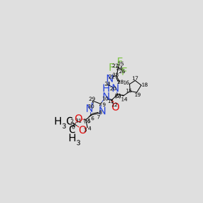 CC1(C)OC[C@H](c2cnc(NC(=O)[C@H](CC3CCCC3)n3cnc(C(F)(F)F)c3)cn2)O1